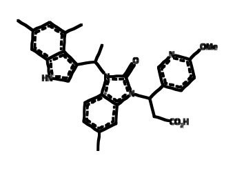 COc1ccc(C(CC(=O)O)n2c(=O)n(C(C)c3c[nH]c4cc(C)cc(C)c34)c3ccc(C)cc32)cn1